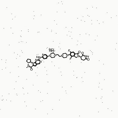 CN(C)C(=O)c1cc2cnc(Nc3ccc(N4CCN(CCN5CCN(c6c(F)cc7c(c6F)CN(C6CCC(=O)NC6=O)C7=O)CC5)CC4)cn3)nc2n1C1CCCC1.Cl.Cl